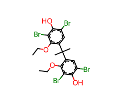 CCOc1c(C(C)(C)c2cc(Br)c(O)c(Br)c2OCC)cc(Br)c(O)c1Br